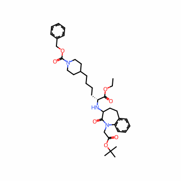 CCOC(=O)[C@@H](CCCCC1CCN(C(=O)OCc2ccccc2)CC1)NC1CCc2ccccc2N(CC(=O)OC(C)(C)C)C1=O